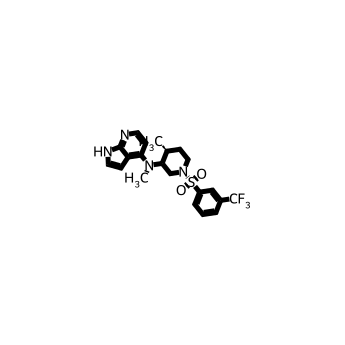 C[C@@H]1CCN(S(=O)(=O)c2cccc(C(F)(F)F)c2)CC1N(C)c1ccnc2[nH]ccc12